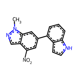 Cn1ncc2c([N+](=O)[O-])cc(-c3cccc4[nH]ccc34)cc21